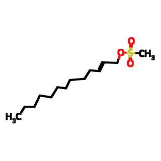 CCCCCCCCCCC=CCOS(C)(=O)=O